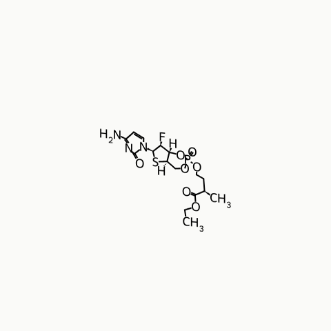 CCOC(=O)[C@H](C)CCOP1(=O)OC[C@H]2S[C@@H](n3ccc(N)nc3=O)[C@@H](F)[C@@H]2O1